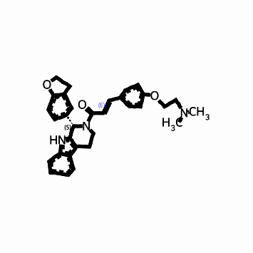 CN(C)CCOc1ccc(/C=C/C(=O)N2CCc3c([nH]c4ccccc34)[C@@H]2c2ccc3c(c2)CCO3)cc1